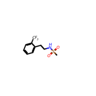 CS(=O)(=O)NCCc1ccccc1C(F)(F)F